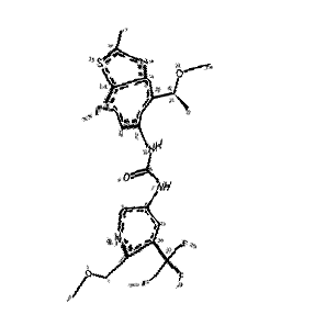 COCc1ncc(NC(=O)Nc2cnc3sc(C)nc3c2[C@H](C)OC)cc1C(F)(F)F